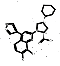 O=C(O)[C@@H]1C[C@@H](C2CCCCC2)CN1c1cc(-c2cn[nH]c2)c2ccc(Cl)c(Cl)c2n1